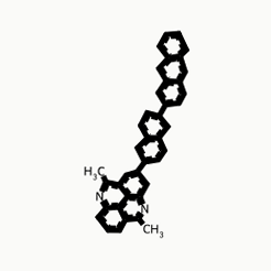 Cc1nc2cc(-c3ccc4cc(-c5ccc6cc7ccccc7cc6c5)ccc4c3)cc3c(C)nc4cccc1c4c23